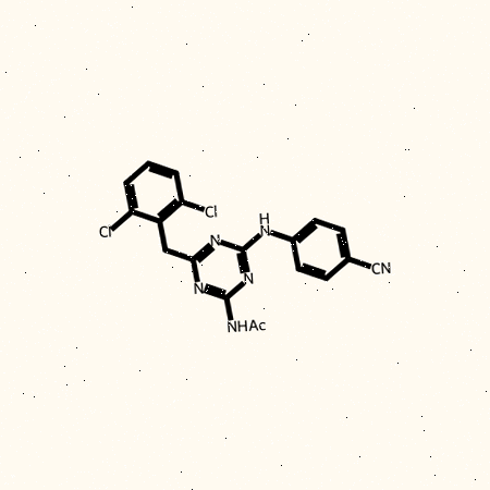 CC(=O)Nc1nc(Cc2c(Cl)cccc2Cl)nc(Nc2ccc(C#N)cc2)n1